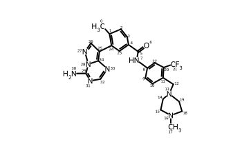 Cc1ccc(C(=O)Nc2ccc(CN3CCN(C)CC3)c(C(F)(F)F)c2)cc1-c1cnn2c(N)ncnc12